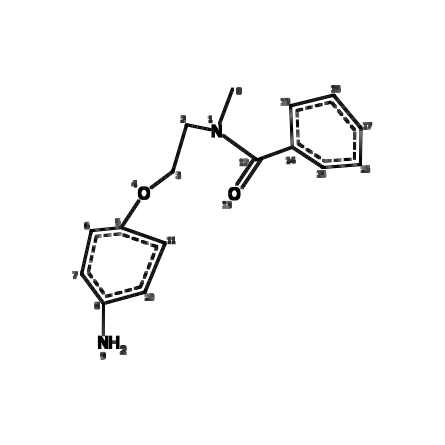 CN(CCOc1ccc(N)cc1)C(=O)c1ccccc1